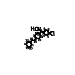 OCC(c1ccc(Cl)cc1)N1CCC(CCC2CCCCC2)CC1